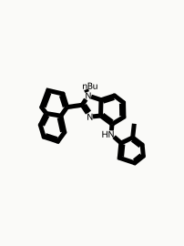 CCCCn1c(-c2cccc3ccccc23)nc2c(Nc3ccccc3C)cccc21